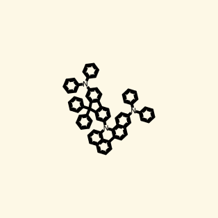 c1ccc(N(c2ccccc2)c2ccc3c(c2)C(c2ccccc2)(c2ccccc2)c2cc(N4c5c(ccc6cc(N(c7ccccc7)c7ccccc7)ccc56)-c5cccc6cccc4c56)ccc2-3)cc1